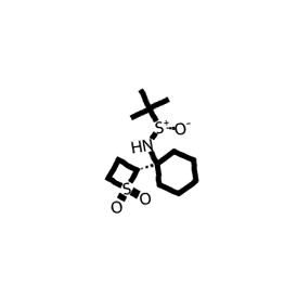 CC(C)(C)[S@+]([O-])NC1([C@H]2CCS2(=O)=O)CCCCC1